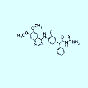 COc1cc2ncnc(Nc3ccc(C(C(=O)NC(N)=S)c4ccccc4)cc3F)c2cc1OC